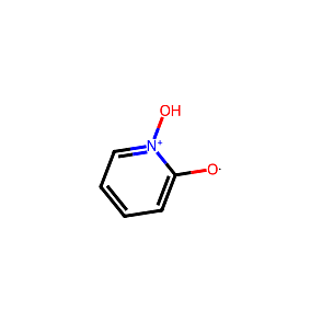 [O]c1cccc[n+]1O